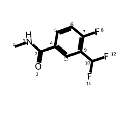 CNC(=O)c1ccc(F)c(C(F)F)c1